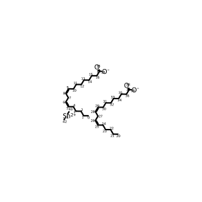 CCCCC/C=C\C/C=C\CCCCCCCC(=O)[O-].CCCCC/C=C\C/C=C\CCCCCCCC(=O)[O-].[CH3][Sn+2][CH3]